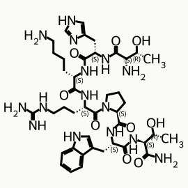 C[C@@H](O)[C@H](N)C(=O)N[C@@H](Cc1c[nH]cn1)C(=O)N[C@@H](CCCCN)C(=O)N[C@@H](CCCNC(=N)N)C(=O)N1CCC[C@H]1C(=O)N[C@@H](Cc1c[nH]c2ccccc12)C(=O)N[C@H](C(N)=O)[C@@H](C)O